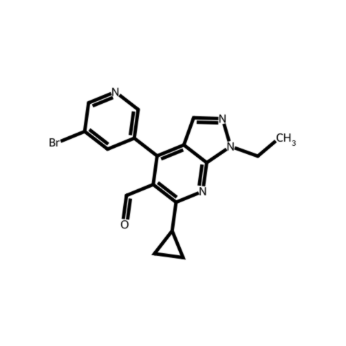 CCn1ncc2c(-c3cncc(Br)c3)c(C=O)c(C3CC3)nc21